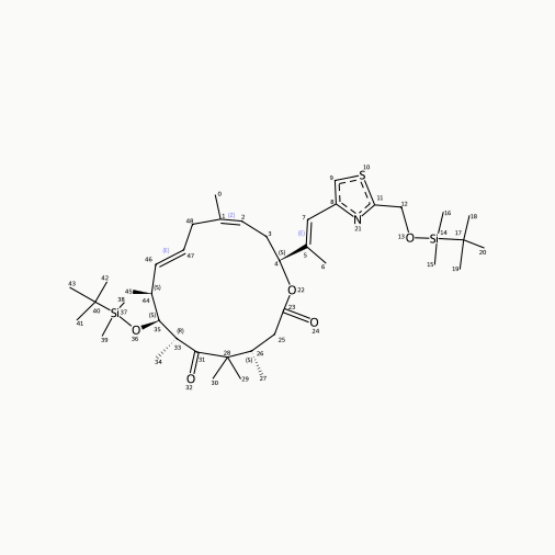 C/C1=C/C[C@@H](/C(C)=C/c2csc(CO[Si](C)(C)C(C)(C)C)n2)OC(=O)C[C@H](C)C(C)(C)C(=O)[C@H](C)[C@@H](O[Si](C)(C)C(C)(C)C)[C@@H](C)/C=C/C1